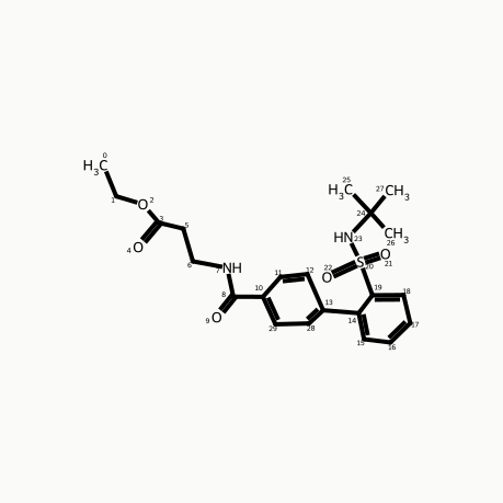 CCOC(=O)CCNC(=O)c1ccc(-c2ccccc2S(=O)(=O)NC(C)(C)C)cc1